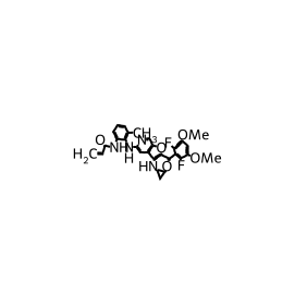 C=CC(=O)Nc1cccc(C)c1Nc1cc2c(NC3CC3)c(C(=O)c3c(F)c(OC)cc(OC)c3F)oc2cn1